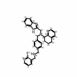 Fc1ncccc1CNCc1ccc(CN(Cc2nc3ccccc3[nH]2)C2CCCc3cccnc32)cc1